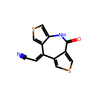 N#CC=C1c2cscc2NC(=O)c2cscc21